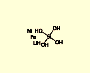 O[Si](O)(O)O.[Fe].[LiH].[Ni]